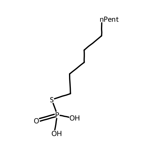 CCCCCCCCCCSP(=O)(O)O